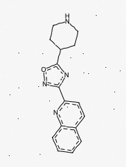 c1ccc2nc(-c3noc(C4CCNCC4)n3)ccc2c1